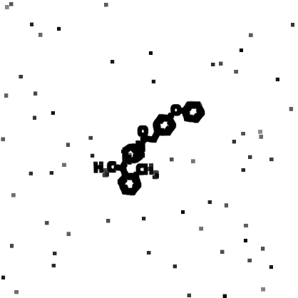 Cc1ccccc1C(C)N1CC2CC1CN2C(=O)Cc1ccc(Oc2ccccc2)cc1